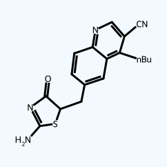 CCCCc1c(C#N)cnc2ccc(CC3SC(N)=NC3=O)cc12